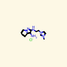 C[n+]1ccn(CCNc2nn3ccccc3c2N)c1.[Cl-]